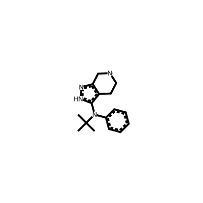 CC(C)(C)N(c1ccccc1)c1[nH]nc2c1CC[N]C2